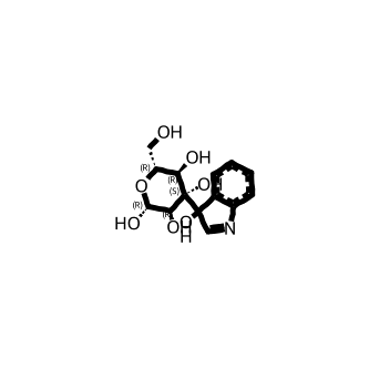 OC[C@H]1O[C@@H](O)[C@H](O)[C@](O)(C2(O)C=Nc3ccccc32)[C@@H]1O